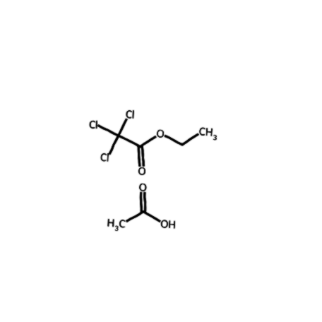 CC(=O)O.CCOC(=O)C(Cl)(Cl)Cl